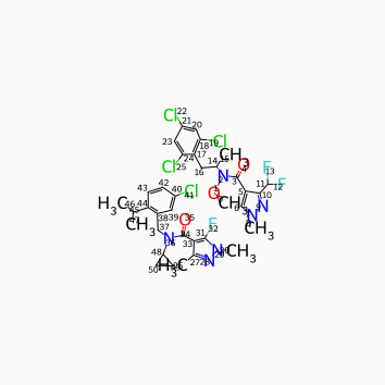 CON(C(=O)c1cn(C)nc1C(F)F)C(C)Cc1c(Cl)cc(Cl)cc1Cl.Cc1nn(C)c(F)c1C(=O)N(Cc1cc(Cl)ccc1C(C)C)C1CC1